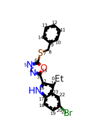 CCc1c(-c2nnc(SCc3ccccc3)o2)[nH]c2ccc(Br)cc12